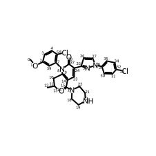 COc1ccc(Cl)c(-n2c(CC(C)C)c(C(=O)N3CCNCC3)cc(-c3ccn(-c4ccc(Cl)cc4)n3)c2=O)c1